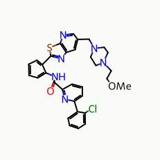 COCCN1CCN(Cc2cnc3sc(-c4ccccc4NC(=O)c4cccc(-c5ccccc5Cl)n4)nc3c2)CC1